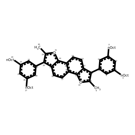 CCCCCCCCc1cc(CCCCCCCC)cc(-c2c(C)oc3c2ccc2c3ccc3c(-c4cc(CCCCCCCC)cc(CCCCCCCC)c4)c(C)oc32)c1